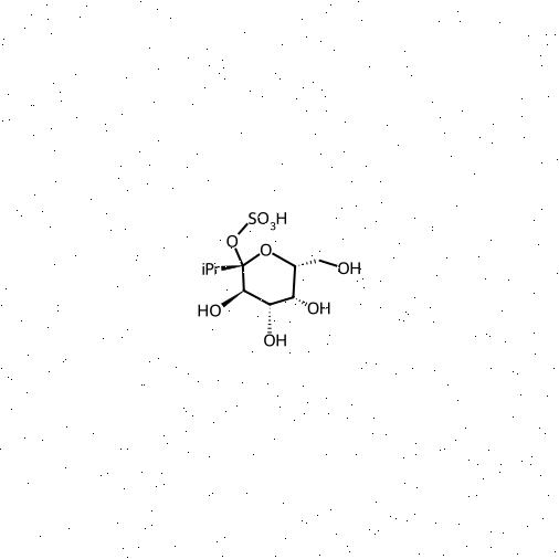 CC(C)[C@@]1(OS(=O)(=O)O)O[C@H](CO)[C@H](O)[C@H](O)[C@H]1O